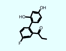 CCC(=O)c1cc(F)ccc1-c1ccc(O)cc1O